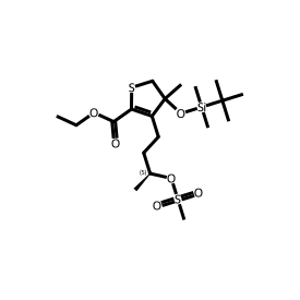 CCOC(=O)C1=C(CC[C@H](C)OS(C)(=O)=O)C(C)(O[Si](C)(C)C(C)(C)C)CS1